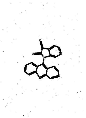 O=C1C(=O)N(c2c3ccccc3cc3ccccc23)c2ccccc21